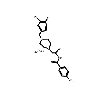 Cc1ccc(C(=O)NC(CN2CCN(Cc3ccc(Cl)c(Cl)c3)CC2)C(C)C)cc1.Cl.Cl